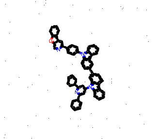 c1ccc(-c2cc(-n3c4ccccc4c4ccc(-c5ccc6c(c5)c5ccccc5n6-c5ccc(-c6cc7c(cn6)oc6ccccc67)cc5)cc43)cc(-c3ccccc3)n2)cc1